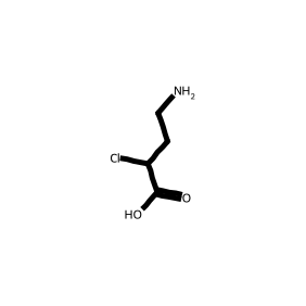 NCCC(Cl)C(=O)O